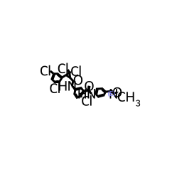 CO/N=C/c1ccc(NC(=O)c2cc(NC(=O)C3C(c4cc(Cl)cc(Cl)c4)C3(Cl)Cl)ccc2Cl)cc1